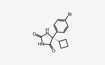 O=C1NC(=O)[C@@](c2ccc(Br)cc2)(C2CCC2)N1